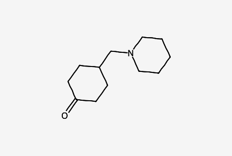 O=C1CCC(CN2CCCCC2)CC1